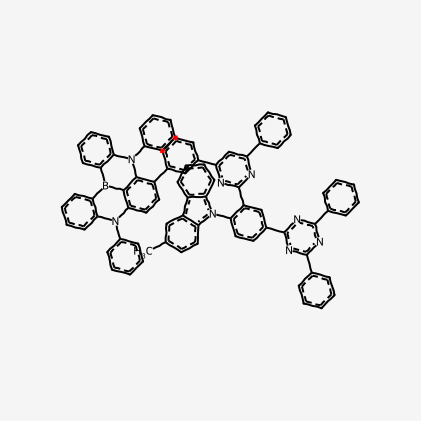 Cc1ccc2c(c1)c1ccccc1n2-c1ccc(-c2nc(-c3ccccc3)nc(-c3ccccc3)n2)cc1-c1nc(-c2ccccc2)cc(-c2cccc(-c3ccc4c5c3N(c3ccccc3)c3ccccc3B5c3ccccc3N4c3ccccc3)c2)n1